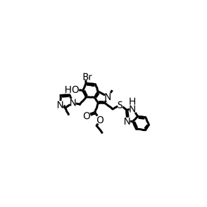 CCOC(=O)c1c(CSc2nc3ccccc3[nH]2)n(C)c2cc(Br)c(O)c(Cn3ccnc3C)c12